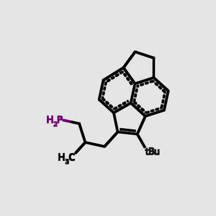 CC(CP)CC1=C(C(C)(C)C)c2ccc3c4c(ccc1c24)CC3